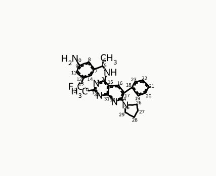 Cc1nc(N[C@H](C)c2cc(N)cc(C(F)(F)F)c2)c2cc(-c3ccccc3)c(N3CCCC3)nc2n1